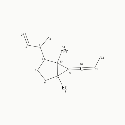 C=CC(C)C1CCC2(CC)C(=C=CC)C12CCC